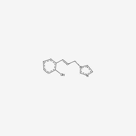 Oc1ccccc1/C=C/Cn1ccnc1